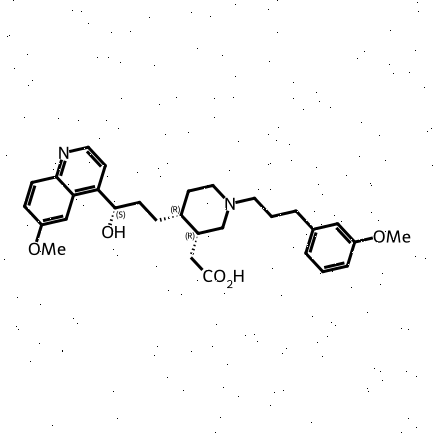 COc1cccc(CCCN2CC[C@@H](CC[C@H](O)c3ccnc4ccc(OC)cc34)[C@@H](CC(=O)O)C2)c1